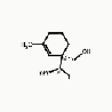 CCC[C@H](F)[C@@]1(CO)C=C(C)CCC1